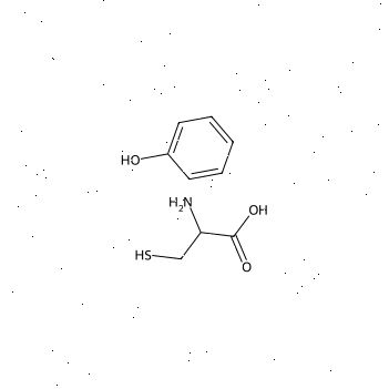 NC(CS)C(=O)O.Oc1ccccc1